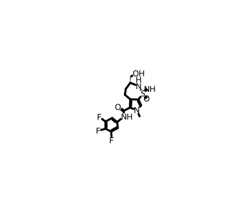 Cn1cc2c(c1C(=O)Nc1cc(F)c(F)c(F)c1)CC[C@H](CO)NS2(=N)=O